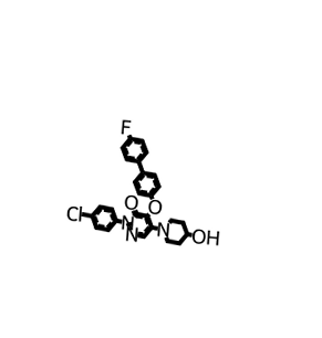 O=c1c(Oc2ccc(-c3ccc(F)cc3)cc2)c(N2CCC(O)CC2)cnn1-c1ccc(Cl)cc1